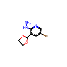 NNc1ncc(Br)cc1C1OCCO1